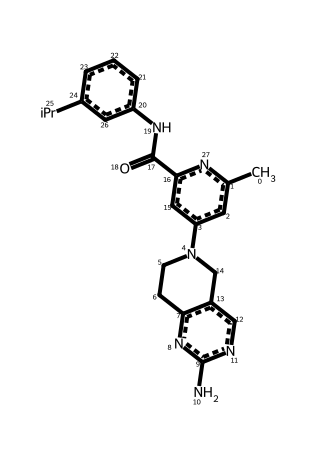 Cc1cc(N2CCc3nc(N)ncc3C2)cc(C(=O)Nc2cccc(C(C)C)c2)n1